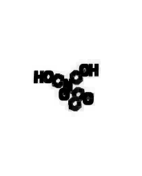 COc1ccc(C(=O)N(c2ccc(O)cc2)c2ccc(O)cc2)c2ccccc12